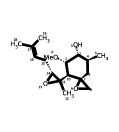 CO[C@@H]1[C@H](O)[C@@H](C)C[C@]2(CO2)[C@H]1C1(C)O[C@@H]1CC=C(C)C